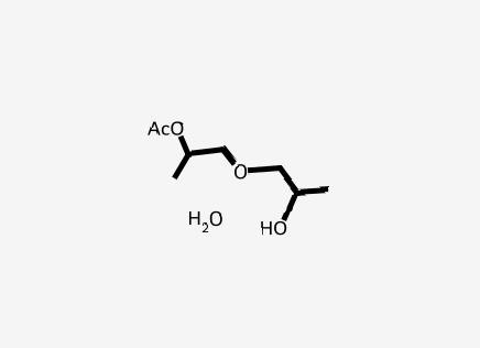 CC(=O)OC(C)COCC(C)O.O